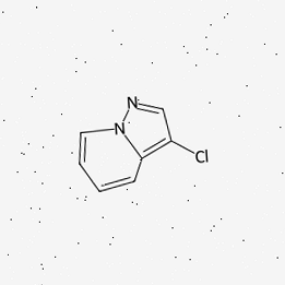 Clc1cnn2ccccc12